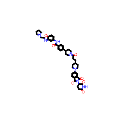 C[C@H]1CCCN1Cc1nc2cc(NC(=O)c3ccc(C4CCN(C(=O)CCC5CCN(c6ccc7c(c6)C(=O)N(C6CCC(=O)NC6=O)C7=O)CC5)CC4)cc3)ccc2o1